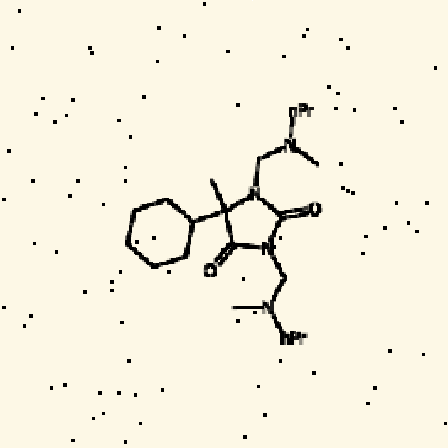 CCCN(C)CN1C(=O)N(CN(C)CCC)C(C)(C2CCCCC2)C1=O